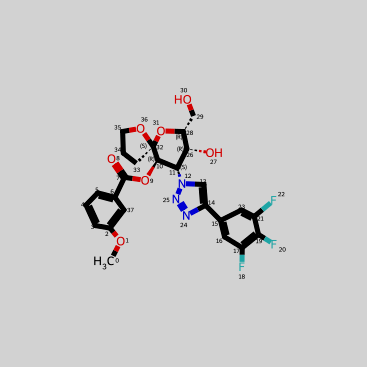 COc1cccc(C(=O)O[C@@H]2[C@@H](n3cc(-c4cc(F)c(F)c(F)c4)nn3)[C@@H](O)[C@@H](CO)O[C@@]23CCCO3)c1